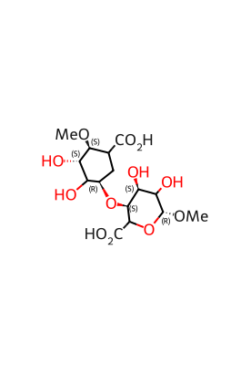 CO[C@@H]1OC(C(=O)O)[C@@H](O[C@@H]2CC(C(=O)O)[C@H](OC)[C@@H](O)C2O)[C@@H](O)C1O